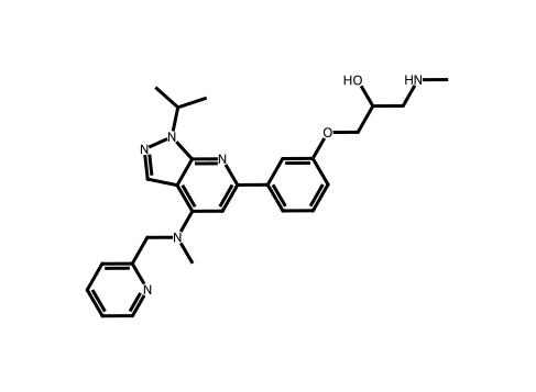 CNCC(O)COc1cccc(-c2cc(N(C)Cc3ccccn3)c3cnn(C(C)C)c3n2)c1